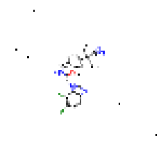 CCC(C#N)(CC)c1ccc([C@@H](C)NC(=O)Cn2cnc3ccc(F)c(F)c32)cc1